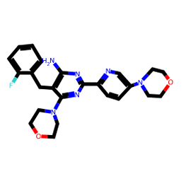 Nc1nc(-c2ccc(N3CCOCC3)cn2)nc(N2CCOCC2)c1Cc1ccccc1F